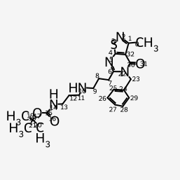 Cc1nsc2nc(CCCNCCCNC(=O)OC(C)(C)C)n(Cc3ccccc3)c(=O)c12